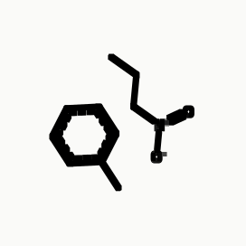 CCC[N+](=O)[O-].Cc1ccccc1